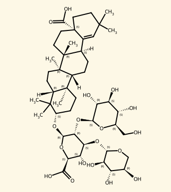 CC1(C)C=C2[C@H]3CC[C@@H]4[C@@]5(C)CC[C@H](O[C@@H]6O[C@H](C(=O)O)[C@@H](O)[C@H](O[C@@H]7OC[C@@H](O)[C@H](O)[C@H]7O)[C@H]6O[C@@H]6O[C@H](CO)[C@@H](O)[C@H](O)[C@H]6O)C(C)(C)[C@@H]5CC[C@@]4(C)[C@]3(C)CC[C@@]2(C(=O)O)CC1